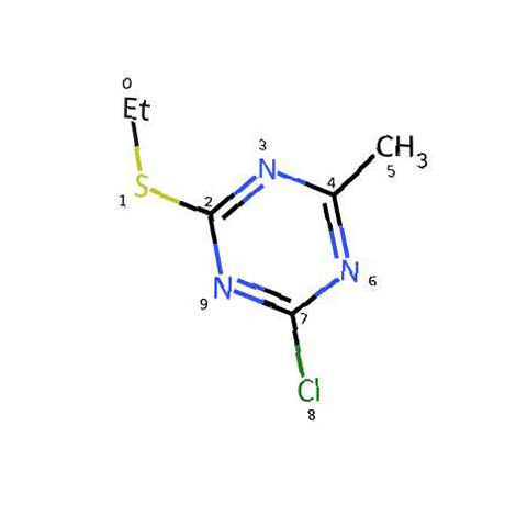 CCSc1nc(C)nc(Cl)n1